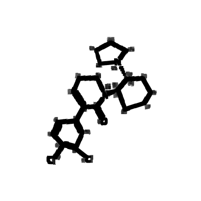 O=C1C(c2ccc(Cl)c(Cl)c2)=CCCN1[C@@H]1CCCC[C@H]1N1CCCC1